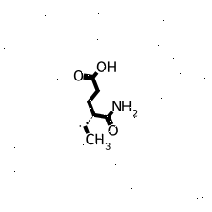 C[CH][C@H](CCC(=O)O)C(N)=O